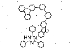 c1ccc(C2=NC(c3ccccc3-c3ccc4c(c3)oc3cc(-c5cccc(-c6cccc(-c7ccc8c9ccccc9c9ccccc9c8c7)c6)c5)ccc34)=NC(c3ccccc3)N2)cc1